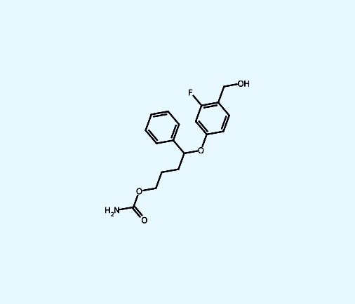 NC(=O)OCCCC(Oc1ccc(CO)c(F)c1)c1ccccc1